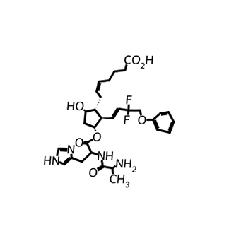 CC(N)C(=O)NC(Cc1c[nH]cn1)C(=O)O[C@@H]1C[C@H](O)[C@H](C/C=C\CCCC(=O)O)[C@H]1/C=C/C(F)(F)COc1ccccc1